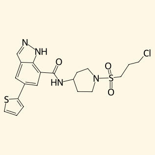 O=C(NC1CCN(S(=O)(=O)CCCCl)CC1)c1cc(-c2cccs2)cc2cn[nH]c12